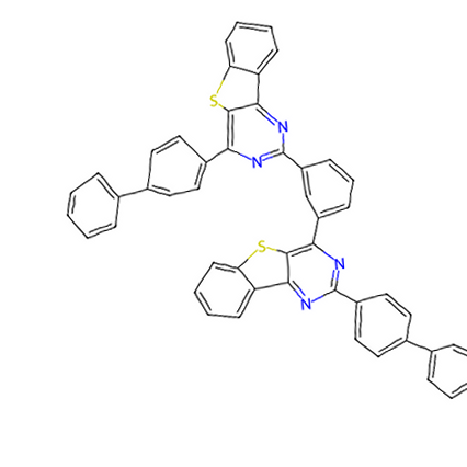 c1ccc(-c2ccc(-c3nc(-c4cccc(-c5nc(-c6ccc(-c7ccccc7)cc6)c6sc7ccccc7c6n5)c4)c4sc5ccccc5c4n3)cc2)cc1